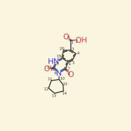 O=C(O)c1ccc2c(=O)n(C3CCCCC3)c(=O)[nH]c2c1